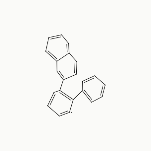 [c]1cccc(-c2ccc3ccccc3c2)c1-c1ccccc1